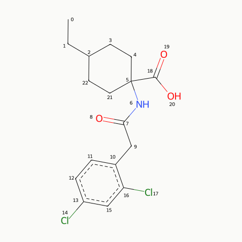 CCC1CCC(NC(=O)Cc2ccc(Cl)cc2Cl)(C(=O)O)CC1